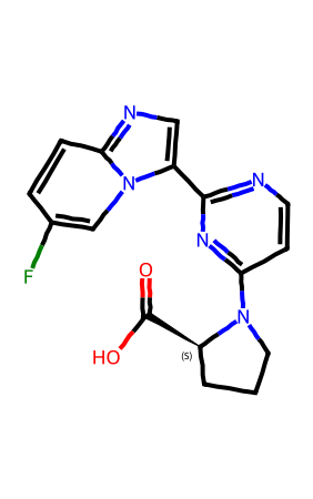 O=C(O)[C@@H]1CCCN1c1ccnc(-c2cnc3ccc(F)cn23)n1